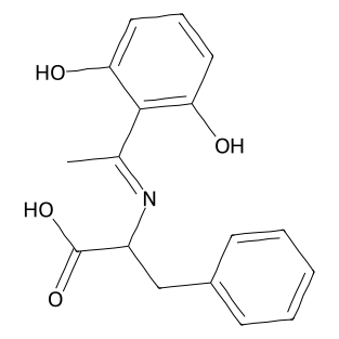 C/C(=N\C(Cc1ccccc1)C(=O)O)c1c(O)cccc1O